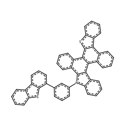 c1cc(-c2cccc3c2sc2ccccc23)cc(-n2c3ccccc3c3c4c5ccccc5c5c6ccccc6sc5c4c4ccccc4c32)c1